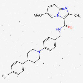 COc1ccc2nc(C)c(C(=O)NCc3ccc(N4CCC(c5ccc(C(F)(F)F)cc5)CC4)cc3)n2c1